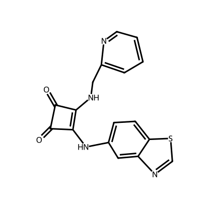 O=c1c(NCc2ccccn2)c(Nc2ccc3scnc3c2)c1=O